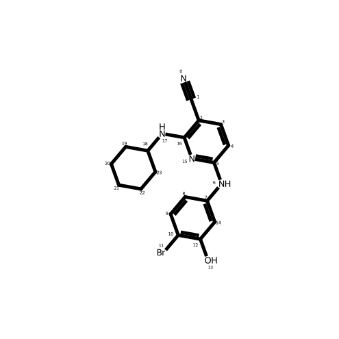 N#Cc1ccc(Nc2ccc(Br)c(O)c2)nc1NC1CCCCC1